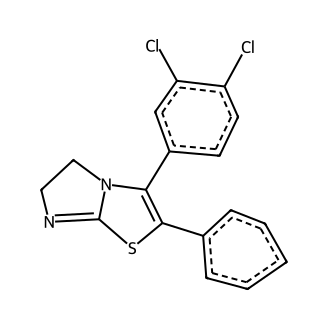 Clc1ccc(C2=C(c3ccccc3)SC3=NCCN32)cc1Cl